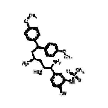 COc1ccc(C(CC(C)C[C@@H](O)C(N)c2ccc(O)c(NS(C)(=O)=O)c2)c2ccc(OC)cc2)cc1